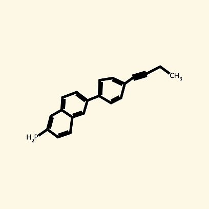 CCC#Cc1ccc(-c2ccc3cc(P)ccc3c2)cc1